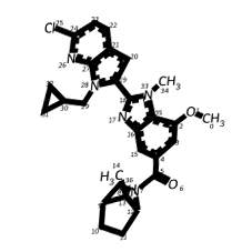 COc1cc(C(=O)N2CC3CCC2[C@@H]3C)cc2nc(-c3cc4ccc(Cl)nc4n3CC3CC3)n(C)c12